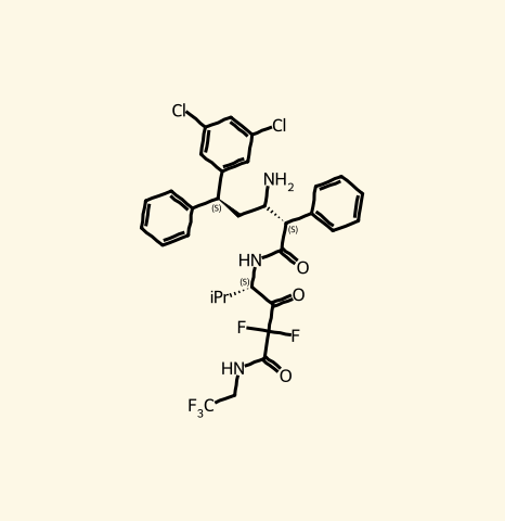 CC(C)[C@H](NC(=O)[C@@H](c1ccccc1)C(N)C[C@@H](c1ccccc1)c1cc(Cl)cc(Cl)c1)C(=O)C(F)(F)C(=O)NCC(F)(F)F